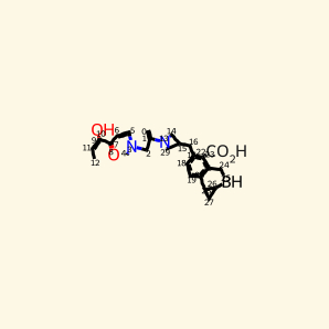 C=C(CN(C)/C=C\C(=O)/C(O)=C\C)N1CC(Cc2ccc3c(c2C(=O)O)CBC2CC32)C1